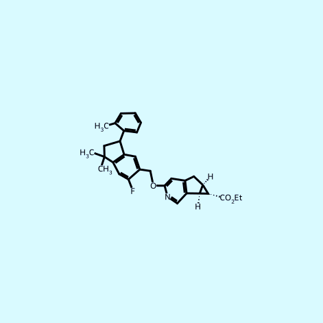 CCOC(=O)[C@H]1[C@@H]2Cc3cc(OCc4cc5c(cc4F)C(C)(C)CC5c4ccccc4C)ncc3[C@@H]21